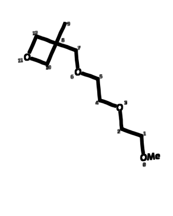 COCCOCCOCC1(C)COC1